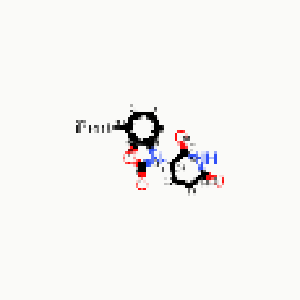 CCCC(C)c1cccc2c1oc(=O)n2[C@H]1CCC(=O)NC1=O